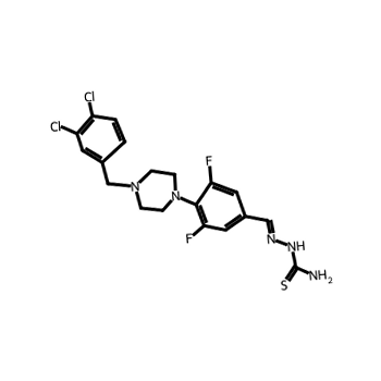 NC(=S)N/N=C/c1cc(F)c(N2CCN(Cc3ccc(Cl)c(Cl)c3)CC2)c(F)c1